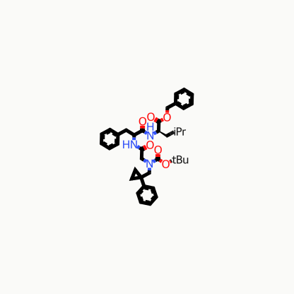 CC(C)C[C@@H](NC(=O)C(Cc1ccccc1)NC(=O)CN(CC1(c2ccccc2)CC1)C(=O)OC(C)(C)C)C(=O)OCc1ccccc1